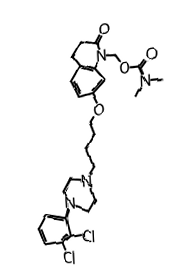 CN(C)C(=O)OCN1C(=O)CCc2ccc(OCCCCN3CCN(c4cccc(Cl)c4Cl)CC3)cc21